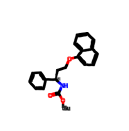 CC(C)(C)OC(=O)N[C@H](CCOc1cccc2ccccc12)c1ccccc1